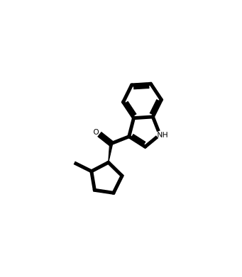 CC1CCC[C@@H]1C(=O)c1c[nH]c2ccccc12